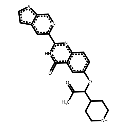 CC(=O)C(Oc1ccc2nc(-c3cc4ccsc4cn3)[nH]c(=O)c2c1)C1CCNCC1